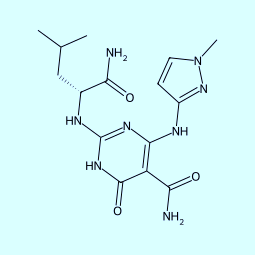 CC(C)C[C@@H](Nc1nc(Nc2ccn(C)n2)c(C(N)=O)c(=O)[nH]1)C(N)=O